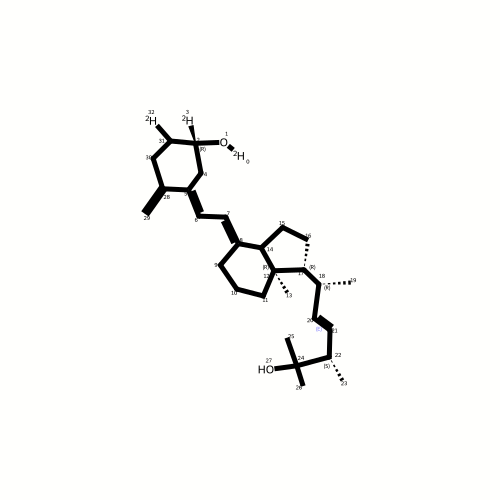 [2H]O[C@]1([2H])CC(=CC=C2CCC[C@@]3(C)C2CC[C@@H]3[C@H](C)/C=C/[C@H](C)C(C)(C)O)C(=C)CC1[2H]